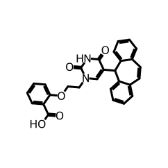 O=C(O)c1ccccc1OCCn1cc(C2c3ccccc3C=Cc3ccccc32)c(=O)[nH]c1=O